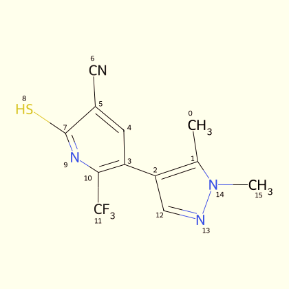 Cc1c(-c2cc(C#N)c(S)nc2C(F)(F)F)cnn1C